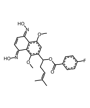 COc1cc(C(CC=C(C)C)OC(=O)c2ccc(F)cc2)c(OC)c2c1C(=NO)C=CC2=NO